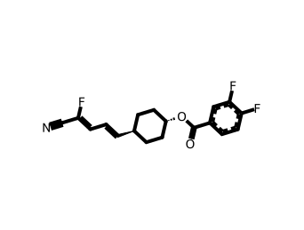 N#CC(F)=CC=C[C@H]1CC[C@H](OC(=O)c2ccc(F)c(F)c2)CC1